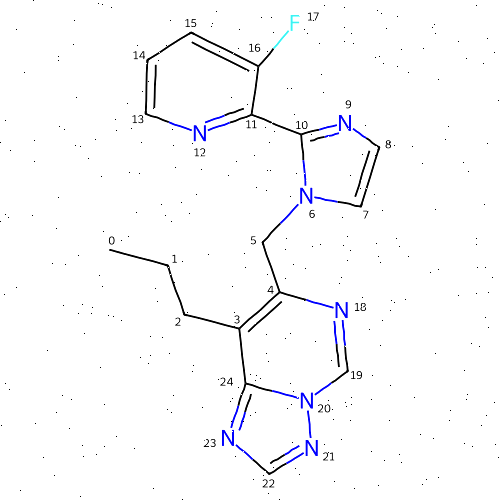 CCCc1c(Cn2ccnc2-c2ncccc2F)ncn2ncnc12